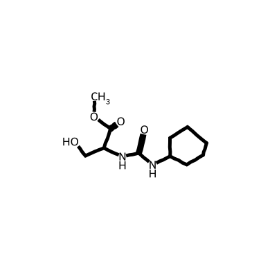 COC(=O)C(CO)NC(=O)NC1CCCCC1